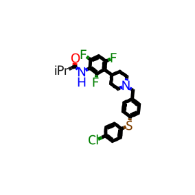 CC(C)C(=O)Nc1c(F)cc(F)c(C2CCN(Cc3ccc(Sc4ccc(Cl)cc4)cc3)CC2)c1F